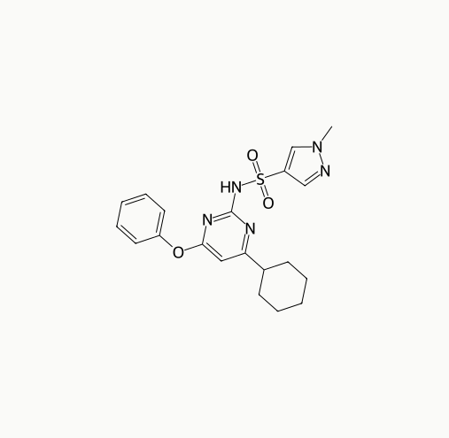 Cn1cc(S(=O)(=O)Nc2nc(Oc3ccccc3)cc(C3CCCCC3)n2)cn1